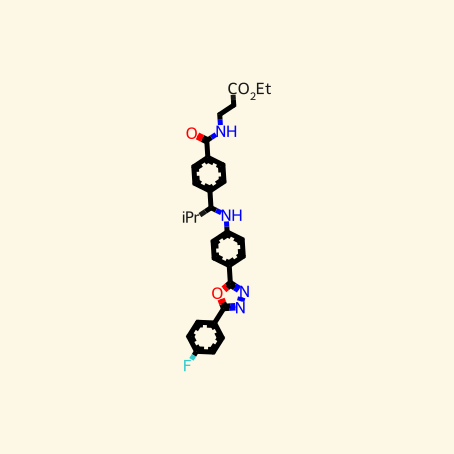 CCOC(=O)CCNC(=O)c1ccc(C(Nc2ccc(-c3nnc(-c4ccc(F)cc4)o3)cc2)C(C)C)cc1